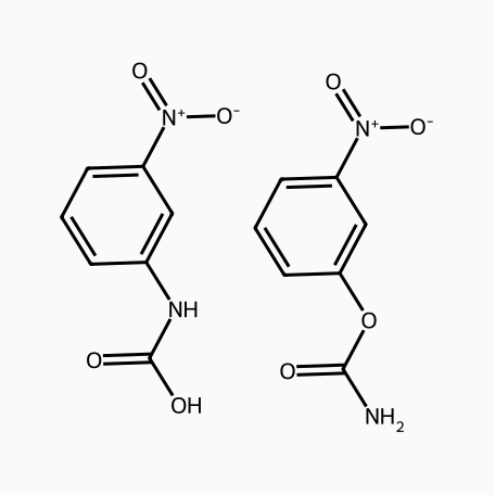 NC(=O)Oc1cccc([N+](=O)[O-])c1.O=C(O)Nc1cccc([N+](=O)[O-])c1